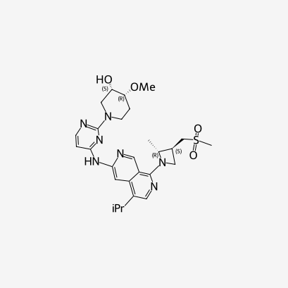 CO[C@@H]1CCN(c2nccc(Nc3cc4c(C(C)C)cnc(N5C[C@H](CS(C)(=O)=O)[C@H]5C)c4cn3)n2)C[C@@H]1O